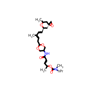 CCCN(C)C(=O)OC(C)C=CC(=O)NC1COC(CC=C(C)C=C[C@@H]2C[C@@]3(CO3)CC(C)O2)OC1